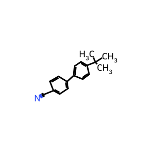 CC(C)(C)c1ccc(-c2ccc(C#N)cc2)cc1